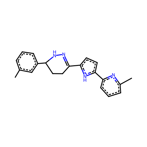 Cc1cccc(C2CCC(c3ccc(-c4cccc(C)n4)[nH]3)=NN2)c1